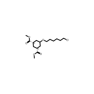 COC(=O)[C@@H]1CC(OCCCCCCCl)C[C@H](C(=O)OC)C1